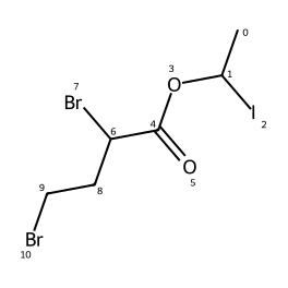 CC(I)OC(=O)C(Br)CCBr